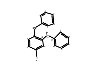 Clc1ccc(Nc2ccccc2)c(Nc2ccccc2)c1